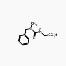 CN(Cc1ccccc1)C(=O)NCC(=O)O